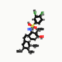 COc1cc(/C=C\c2ccc(O)c(OC)c2NS(=O)(=O)c2ccc(Cl)c(Cl)c2)cc(OC)c1OC